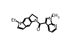 CCn1ccc2cc3c(cc21)CCN3C(=O)c1cn(C)c2ncccc12